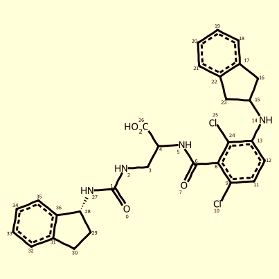 O=C(NCC(NC(=O)c1c(Cl)ccc(NC2Cc3ccccc3C2)c1Cl)C(=O)O)N[C@@H]1CCc2ccccc21